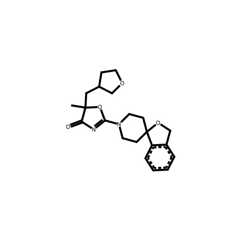 CC1(CC2CCOC2)OC(N2CCC3(CC2)OCc2ccccc23)=NC1=O